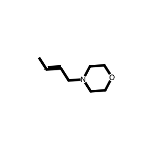 C[C]=CCN1CCOCC1